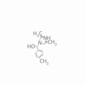 Cc1ccc(C(O)N2C[C@@H](C)N[C@@H](C)C2)cc1